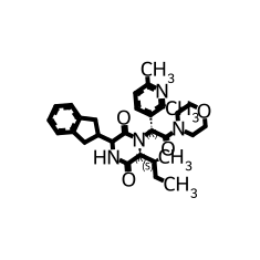 CC[C@H](C)[C@@H]1C(=O)NC(C2Cc3ccccc3C2)C(=O)N1[C@@H](C(=O)N1CCOCC1)c1ccc(C)nc1C